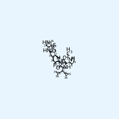 CC(C)n1nccc1C(=O)NC(C(=O)Nc1ccc(CC(=O)NC2CNCC2(F)F)cc1F)C(C1CC1)C1CC1